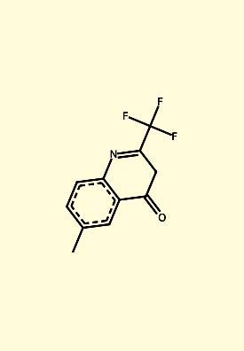 Cc1ccc2c(c1)C(=O)CC(C(F)(F)F)=N2